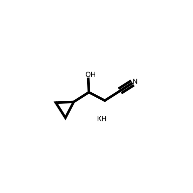 N#CCC(O)C1CC1.[KH]